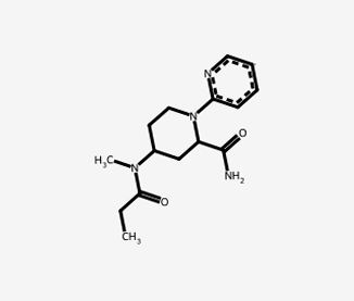 CCC(=O)N(C)C1CCN(c2cc[c]cn2)C(C(N)=O)C1